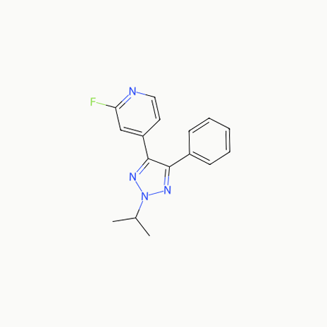 CC(C)n1nc(-c2ccccc2)c(-c2ccnc(F)c2)n1